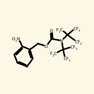 O=C(OCc1ccccc1[N+](=O)[O-])N(C(C(F)(F)F)(C(F)(F)F)C(F)(F)F)C(C(F)(F)F)(C(F)(F)F)C(F)(F)F